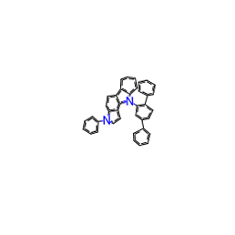 c1ccc(-c2ccc(-c3ccccc3)c(-n3c4ccccc4c4ccc5c(ccn5-c5ccccc5)c43)c2)cc1